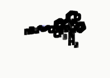 CCCC/C=C/COc1ccc(C2=CCCOC([C@@H]3CCCN3C(=N)N)=N2)cc1C(F)(F)F